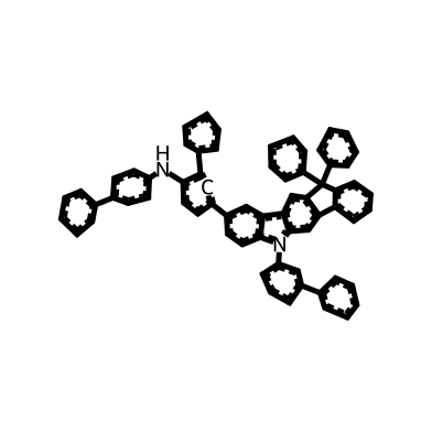 c1ccc(-c2ccc(Nc3ccc(-c4ccc5c(c4)c4cc6c(cc4n5-c4cccc(-c5ccccc5)c4)-c4ccccc4C6(c4ccccc4)c4ccccc4)cc3-c3ccccc3)cc2)cc1